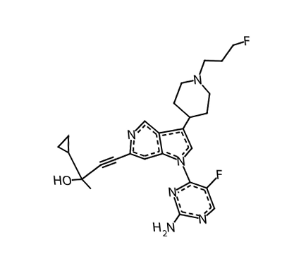 CC(O)(C#Cc1cc2c(cn1)c(C1CCN(CCCF)CC1)cn2-c1nc(N)ncc1F)C1CC1